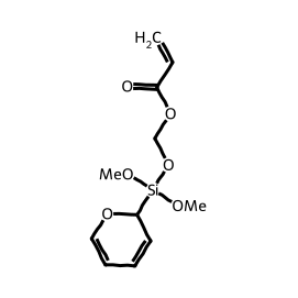 C=CC(=O)OCO[Si](OC)(OC)C1C=CC=CO1